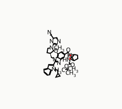 COc1cc(C(=O)N2CC3CCC2[C@@H]3NC(=O)OC(C)(C)C)cc2nc(-c3cc4ccccc4n3CC3CC3)n(C[C@H]3CCN(c4cncc(C#N)n4)C3)c12